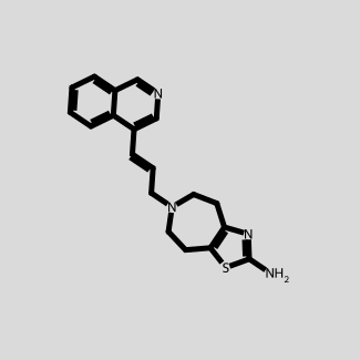 Nc1nc2c(s1)CCN(CC=Cc1cncc3ccccc13)CC2